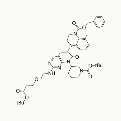 Cc1cccc2c1N(C(=O)OCc1ccccc1)CCN2c1cc2cnc(NCCOCCC(=O)OC(C)(C)C)nc2n(C2CCCN(C(=O)OC(C)(C)C)C2)c1=O